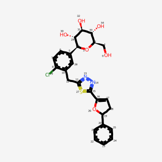 OC[C@H]1O[C@@H](c2ccc(Cl)c(Cc3nnc(C4=CCC(c5ccccc5)O4)s3)c2)[C@H](O)[C@@H](O)[C@@H]1O